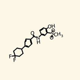 CS(=O)(=O)c1cc(NC(=O)c2ccc(C3CCC(F)(F)CC3)cc2)ccc1O